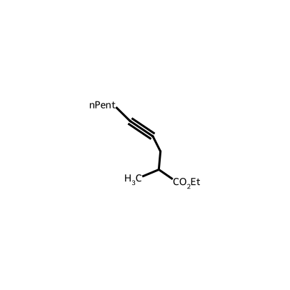 CCCCCC#CCC(C)C(=O)OCC